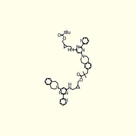 CC(C)(C)C(=O)OCC1CC1CNc1cc(N2CCc3ccc(CC(C)(C)C(=O)OCC4CC4CNc4cc(N5CCc6ccccc6CC5)nc(-c5ccccn5)n4)cc3CC2)nc(-c2ccccn2)n1